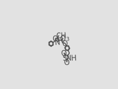 Cc1oc(-c2ccccc2)nc1C(=O)COc1ccc(CC2NC(=O)SC2=O)cc1